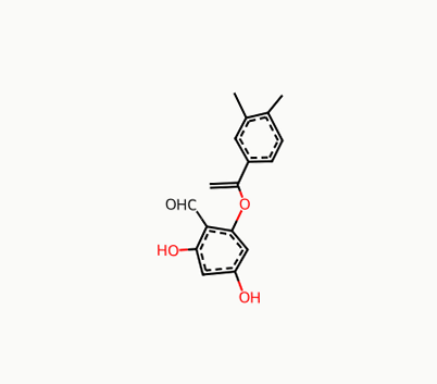 C=C(Oc1cc(O)cc(O)c1C=O)c1ccc(C)c(C)c1